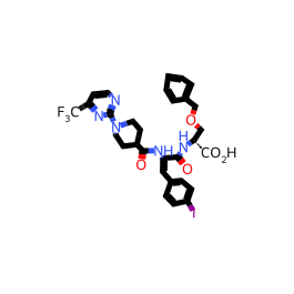 O=C(N[C@H](COCc1ccccc1)C(=O)O)/C(=C\c1ccc(I)cc1)NC(=O)C1CCN(c2nccc(C(F)(F)F)n2)CC1